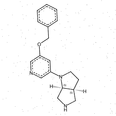 c1ccc(COc2cncc(N3CC[C@H]4CNC[C@H]43)c2)cc1